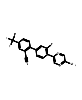 N#Cc1cc(C(F)(F)F)ccc1-c1ccc(-c2cnc(N)cn2)c(F)c1